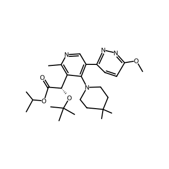 COc1ccc(-c2cnc(C)c([C@H](OC(C)(C)C)C(=O)OC(C)C)c2N2CCC(C)(C)CC2)nn1